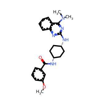 COc1cccc(C(=O)N[C@H]2CC[C@@H](Nc3nc(N(C)C)c4ccccc4n3)CC2)c1